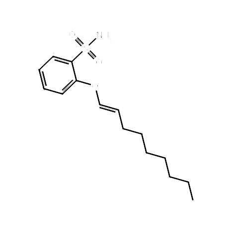 CCCCCCCC=COc1ccccc1S(N)(=O)=O